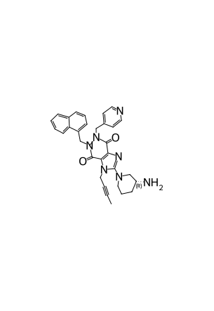 CC#CCn1c(N2CCC[C@@H](N)C2)nc2c(=O)n(Cc3ccncc3)n(Cc3cccc4ccccc34)c(=O)c21